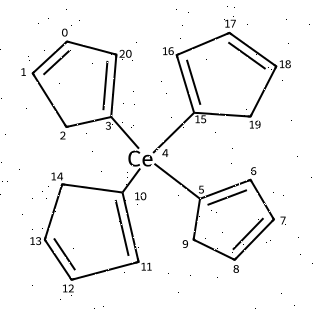 C1=CC[C]([Ce]([C]2=CC=CC2)([C]2=CC=CC2)[C]2=CC=CC2)=C1